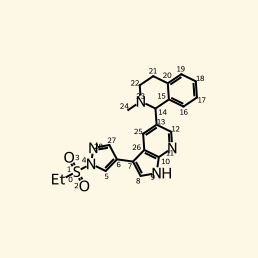 CCS(=O)(=O)n1cc(-c2c[nH]c3ncc(C4c5ccccc5CCN4C)cc23)cn1